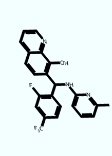 Cc1cccc(NC(c2ccc(C(F)(F)F)cc2F)c2ccc3cccnc3c2O)n1